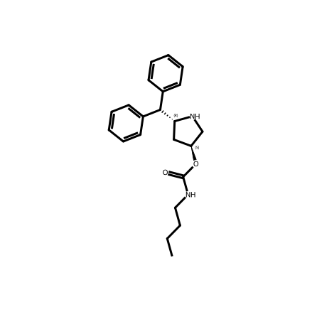 CCCCNC(=O)O[C@@H]1CN[C@@H](C(c2ccccc2)c2ccccc2)C1